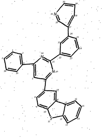 c1ccc(-c2cc(-c3ccc4sc5ccccc5c4c3)nc(-c3cccc(-c4cccnc4)c3)n2)cc1